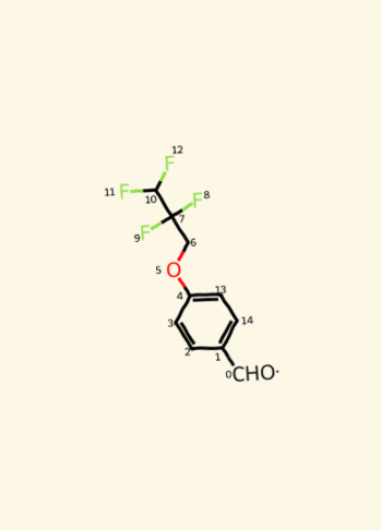 O=[C]c1ccc(OCC(F)(F)C(F)F)cc1